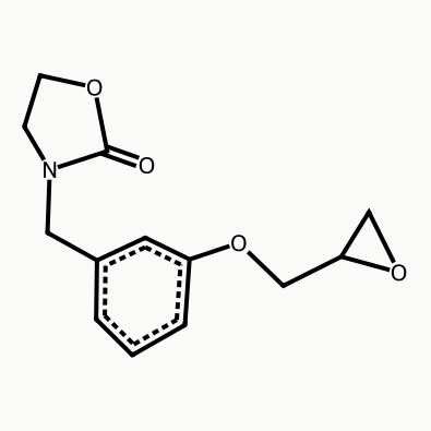 O=C1OCCN1Cc1cccc(OCC2CO2)c1